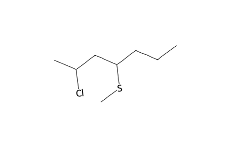 CCCC(CC(C)Cl)SC